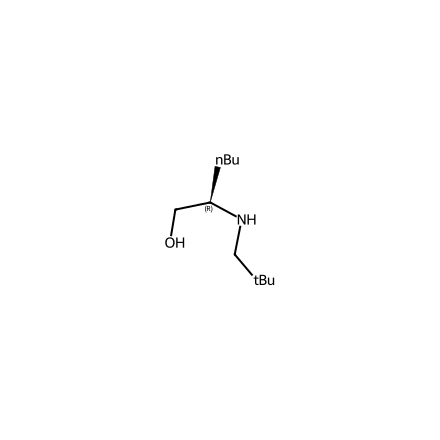 CCCC[C@H](CO)NCC(C)(C)C